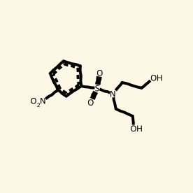 O=[N+]([O-])c1cccc(S(=O)(=O)N(CCO)CCO)c1